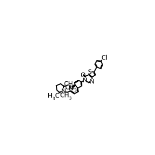 CC1(C)CCCC(C)(C)N1Cc1ccc2cc(-n3cnc4cc(-c5ccc(Cl)cc5)sc4c3=O)ccc2n1